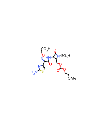 COCCOC(=O)OCC1C(NC(=O)/C(=N\OCC(=O)O)c2csc(N)n2)C(=O)N1S(=O)(=O)O